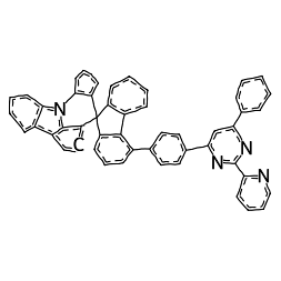 c1ccc(-c2cc(-c3ccc(-c4cccc5c4-c4ccccc4C54c5ccccc5-n5c6ccccc6c6cccc4c65)cc3)nc(-c3ccccn3)n2)cc1